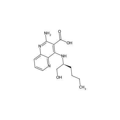 CCCC[C@@H](CO)Nc1c(C(=O)O)c(N)nc2cccnc12